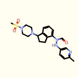 Cc1ccc(NN(C=O)c2cccc3c2CCC3N2CCN(S(C)(=O)=O)CC2)cn1